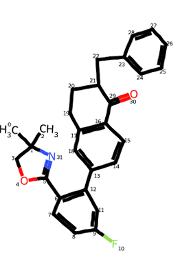 CC1(C)COC(c2ccc(F)cc2-c2ccc3c(c2)CCC(Cc2ccccc2)C3=O)=N1